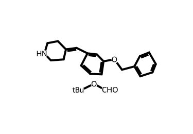 C(=C1CCNCC1)c1cccc(OCc2ccccc2)c1.CC(C)(C)OC=O